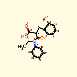 CCN(C(=O)C(Cc1ccccc1Br)C(=O)O)c1ccccc1